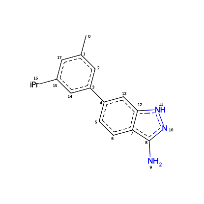 Cc1cc(-c2ccc3c(N)n[nH]c3c2)cc(C(C)C)c1